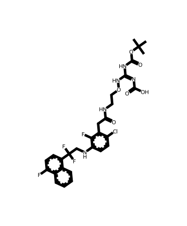 CC(C)(C)OC(=O)NC(=NC(=O)O)NOCCNC(=O)Cc1c(Cl)ccc(NCC(F)(F)c2ccc(F)c3ccccc23)c1F